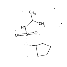 CC(C)NS(=O)(=O)CC1CCCC1